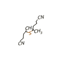 CC(CCCC#N)SC(C)CCCC#N